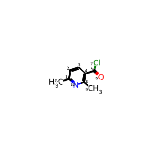 Cc1ccc(C(=O)Cl)c(C)n1